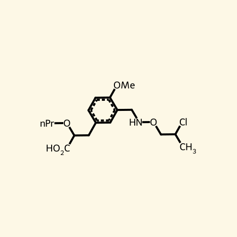 CCCOC(Cc1ccc(OC)c(CNOCC(C)Cl)c1)C(=O)O